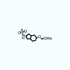 COCO[C@@H]1CCC2C[C@H](NS(C)(=O)=O)CC2C1